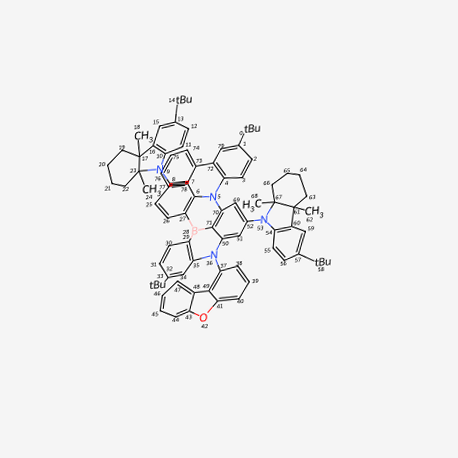 CC(C)(C)c1ccc(N2c3cc(N4c5ccc(C(C)(C)C)cc5C5(C)CCCCC45C)ccc3B3c4ccc(C(C)(C)C)cc4N(c4cccc5oc6ccccc6c45)c4cc(N5c6ccc(C(C)(C)C)cc6C6(C)CCCCC56C)cc2c43)c(-c2ccccc2)c1